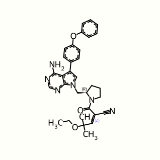 CCOC(C)(C)/C=C(/C#N)C(=O)N1CCC[C@@H]1Cn1cc(-c2ccc(Oc3ccccc3)cc2)c2c(N)ncnc21